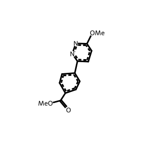 COC(=O)c1ccc(-c2ccc(OC)nn2)cc1